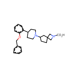 O=C(O)N1CC2(CCC(N3CCC(c4ccccc4OCc4ccccc4)CC3)C2)C1